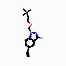 C#Cc1ccc2c(c1)c(F)nn2COCC[Si](C)(C)C